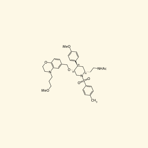 COCCCN1CCOc2ccc(CO[C@H]3CN(S(=O)(=O)c4ccc(C)cc4)[C@@H](CCNC(C)=O)C[C@@H]3c3ccc(OC)cc3)cc21